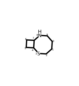 C1CCSC2CCC2NC1